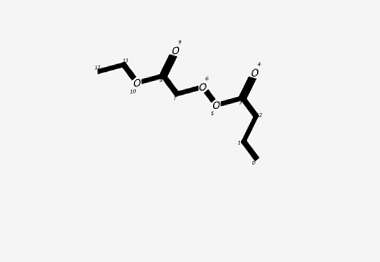 CCCC(=O)OOCC(=O)OCC